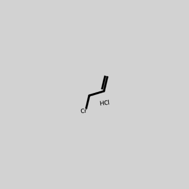 C=C[CH2][Cr].Cl